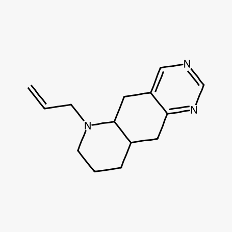 C=CCN1CCCC2Cc3ncncc3CC21